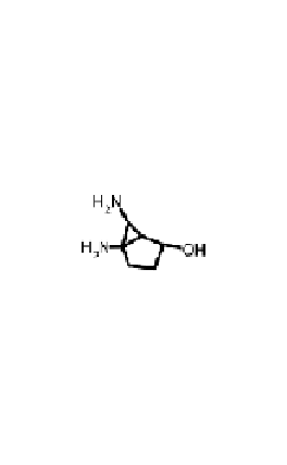 NC1C2C(O)CCC12N